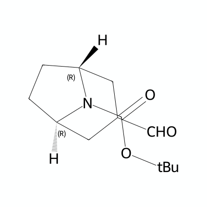 CC(C)(C)OC(=O)N1[C@@H]2CC[C@@H]1CC(C=O)C2